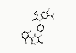 COC(=O)[C@H](Cc1ccc(N2C(=O)C3(CC3)c3cc(F)c(N(C)C)cc32)cc1)NC(=O)c1c(F)cccc1Cl